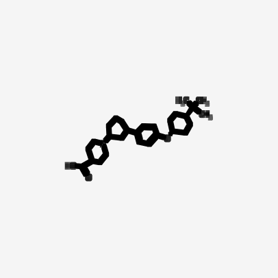 CC(C)(C)[C@H]1CC[C@H](Oc2ccc(C3CCCC(N4CCC(C(=O)O)CC4)C3)cc2)CC1